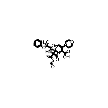 CC(Oc1ccccc1)C(=O)NC1(C(=S)SC=O)C(=O)N2C(C(=O)O)C(N3CCOCC3)=CS[C@H]21